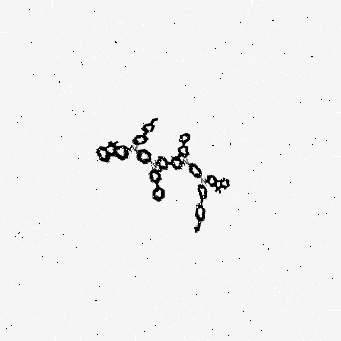 C=CC1=CCC(c2ccc(N(c3ccc(-n4c5ccc(-c6ccccc6)cc5c5cc(-c6ccc7c(c6)c6cc(-c8ccccc8)ccc6n7-c6ccc(N(c7ccc(-c8ccc(C=C)cc8)cc7)c7ccc8c(c7)C(C)(C)c7ccccc7-8)cc6)ccc54)cc3)c3ccc4c(c3)C(C)(C)c3ccccc3-4)cc2)C=C1